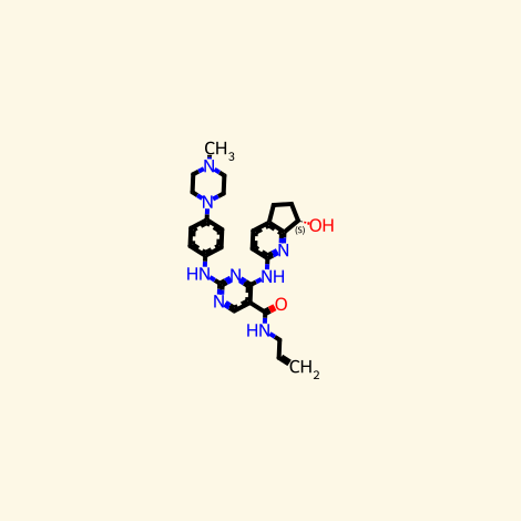 C=CCNC(=O)c1cnc(Nc2ccc(N3CCN(C)CC3)cc2)nc1Nc1ccc2c(n1)[C@@H](O)CC2